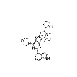 CN(C(Cc1cc2nc(-c3cccc4[nH]ccc34)nc(N3CCOCC3)c2s1)C1CCCN1)S(C)(=O)=O